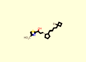 CCC1(CC/C=C/C2CCC[C@@H]2CCC(O)c2nc(C(=O)O)cs2)CCC1